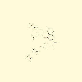 Cc1ccc2nc(C(=O)N(C)C3CCN(C)CC3)nc(NC3CCCCC3NC(=N)N)c2c1.O=C(O)C(F)(F)F.O=C(O)C(F)(F)F.O=C(O)C(F)(F)F